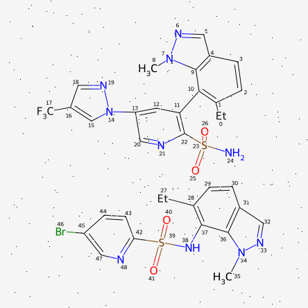 CCc1ccc2cnn(C)c2c1-c1cc(-n2cc(C(F)(F)F)cn2)cnc1S(N)(=O)=O.CCc1ccc2cnn(C)c2c1NS(=O)(=O)c1ccc(Br)cn1